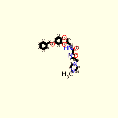 CN1CCN(Cc2cnc(C(=O)NCC3COc4ccc(OCc5ccccc5)cc4O3)o2)CC1